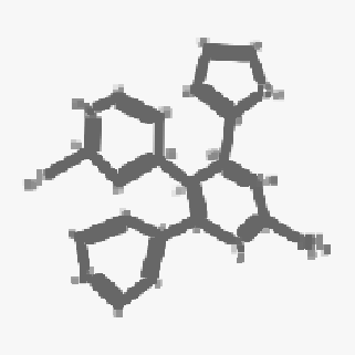 Nc1nc(-c2ccncc2)c(-c2ccnc(F)c2)c(-c2ccco2)n1